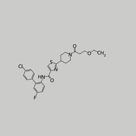 CCOCCC(=O)N1CCC(c2nc(C(=O)Nc3ccc(F)cc3-c3ccc(Cl)cc3)cs2)CC1